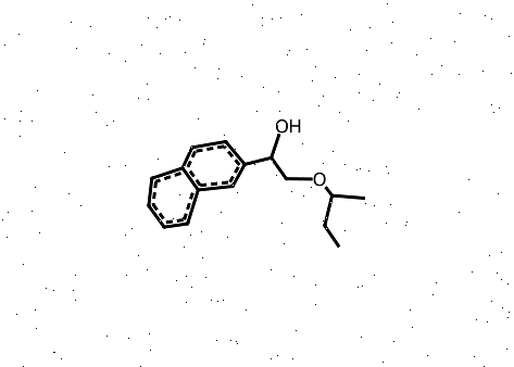 CCC(C)OCC(O)c1ccc2ccccc2c1